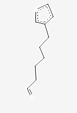 O=CCCCCCc1ccsc1